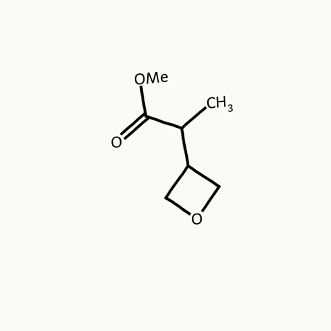 COC(=O)C(C)C1COC1